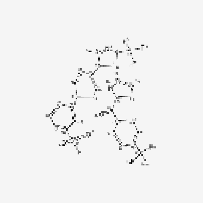 Cc1nc(C(F)(F)F)cn1-c1ccc(-c2cccc(S(C)(=O)=O)c2)cc1-n1nncc1C(=O)c1ccc(C(F)(F)F)cc1